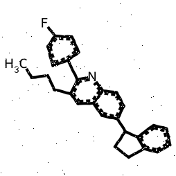 CCCCc1cc2cc(C3CCc4ccccc43)ccc2nc1-c1ccc(F)cc1